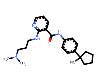 CN(C)CCCNc1ncccc1C(=O)Nc1ccc(C2(C#N)CCCC2)cc1